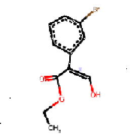 CCOC(=O)/C(=C\O)c1cccc(Br)c1